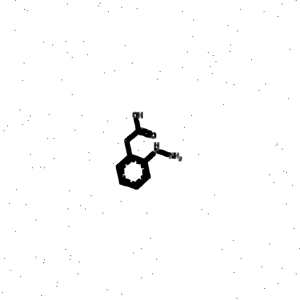 NNc1ccccc1CC(=O)O